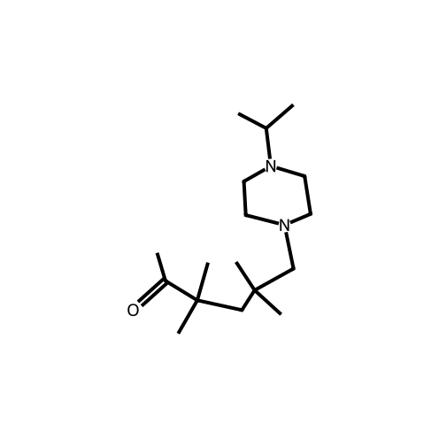 CC(=O)C(C)(C)CC(C)(C)CN1CCN(C(C)C)CC1